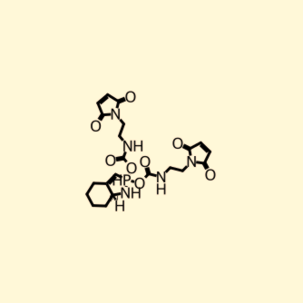 O=C(NCCN1C(=O)C=CC1=O)O[PH]1(OC(=O)NCCN2C(=O)C=CC2=O)C=C2CCCC[C@H]2N1